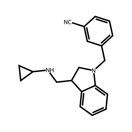 N#Cc1cccc(CN2CC(CNC3CC3)c3ccccc32)c1